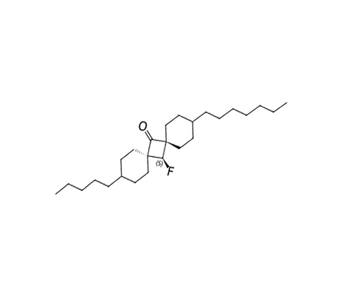 CCCCCCCC1CC[C@]2(CC1)C(=O)[C@@]1(CCC(CCCCC)CC1)[C@@H]2F